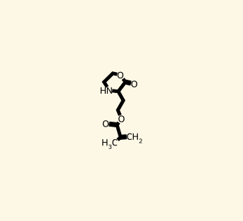 C=C(C)C(=O)OCCC1NCCOC1=O